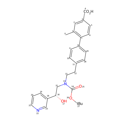 Cc1cc(C(=O)O)ccc1-c1ccc(CCN(C[C@H](O)c2cccnc2)C(=O)OC(C)(C)C)cc1